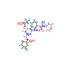 C[C@H](Cc1c[nH]c2c(C(=O)NC3CCOCC3)cccc12)NC[C@H](O)c1cccc(Cl)c1.O=C(O)C(F)(F)F